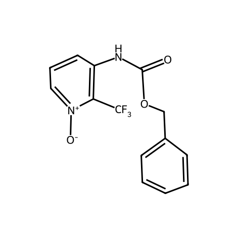 O=C(Nc1ccc[n+]([O-])c1C(F)(F)F)OCc1ccccc1